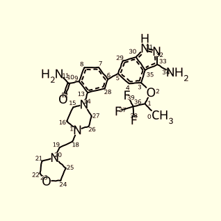 CC(Oc1cc(-c2ccc(C(N)=O)c(N3CCN(CCN4CCOCC4)CC3)c2)cc2[nH]nc(N)c12)C(F)(F)F